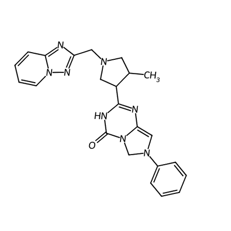 CC1CN(Cc2nc3ccccn3n2)CC1C1=NC2=CN(c3ccccc3)CN2C(=O)N1